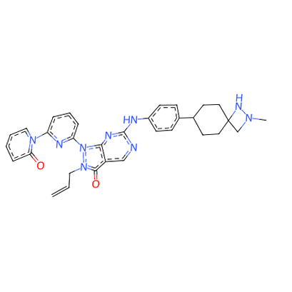 C=CCn1c(=O)c2cnc(Nc3ccc(C4CCC5(CC4)CN(C)N5)cc3)nc2n1-c1cccc(-n2ccccc2=O)n1